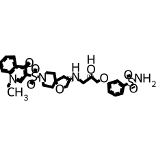 CCn1cc(S(=O)(=O)N2CCC3(CC2)C[C@@H](NC[C@H](O)COc2cccc(S(N)(=O)=O)c2)CO3)c(=O)c2ccccc21